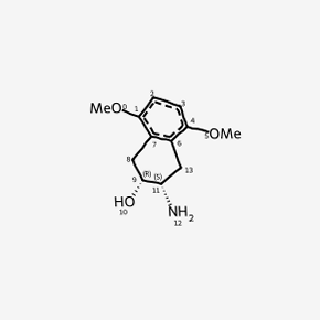 COc1ccc(OC)c2c1C[C@@H](O)[C@@H](N)C2